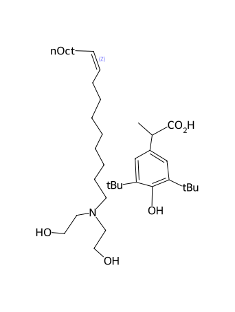 CC(C(=O)O)c1cc(C(C)(C)C)c(O)c(C(C)(C)C)c1.CCCCCCCC/C=C\CCCCCCCCN(CCO)CCO